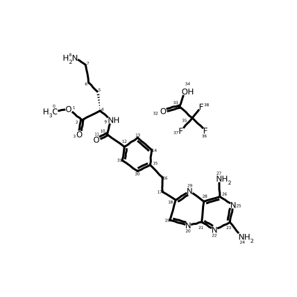 COC(=O)[C@H](CCCN)NC(=O)c1ccc(CCc2cnc3nc(N)nc(N)c3n2)cc1.O=C(O)C(F)(F)F